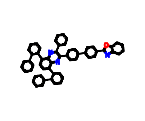 c1ccc(-c2ccccc2-c2ccc(-c3ccccc3-c3ccccc3)c3nc(-c4ccc(-c5ccc(-c6nc7ccccc7o6)cc5)cc4)c(-c4ccccc4)nc23)cc1